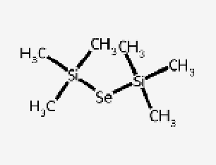 C[Si](C)(C)[Se][Si](C)(C)C